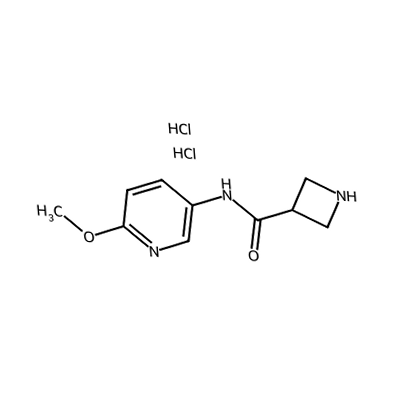 COc1ccc(NC(=O)C2CNC2)cn1.Cl.Cl